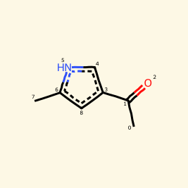 CC(=O)c1c[nH]c(C)c1